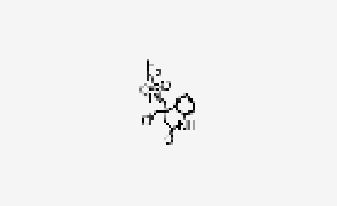 NS(=O)(=O)NCC1(CCl)CC(=O)Nc2ccccc21